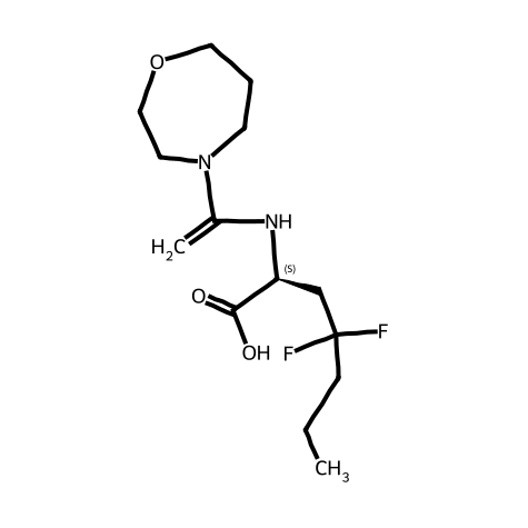 C=C(N[C@@H](CC(F)(F)CCC)C(=O)O)N1CCCOCC1